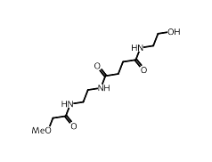 COCC(=O)NCCNC(=O)CCC(=O)NCCO